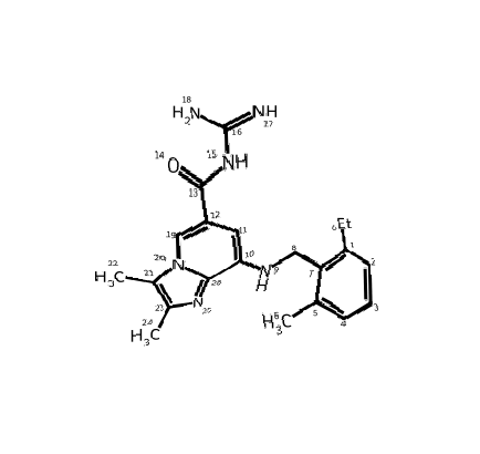 CCc1cccc(C)c1CNc1cc(C(=O)NC(=N)N)cn2c(C)c(C)nc12